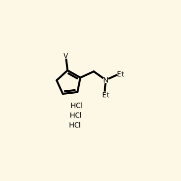 CCN(CC)CC1=[C]([V])CC=C1.Cl.Cl.Cl